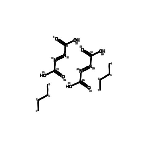 CCCC.CCCC.O=C(O)/N=N/C(=O)O.O=C(O)/N=N/C(=O)O